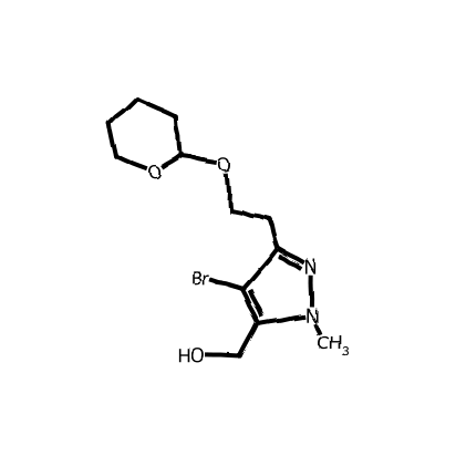 Cn1nc(CCOC2CCCCO2)c(Br)c1CO